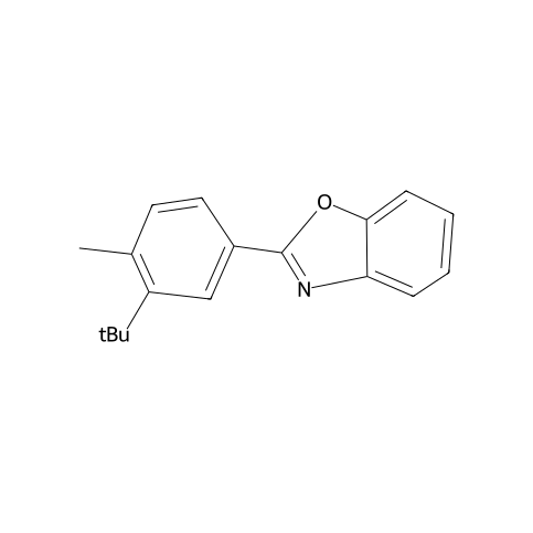 Cc1ccc(-c2nc3ccccc3o2)cc1C(C)(C)C